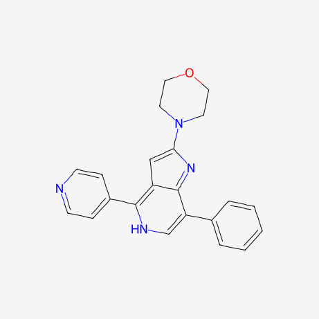 c1ccc(-c2c[nH]c(-c3ccncc3)c3cc(N4CCOCC4)nc2-3)cc1